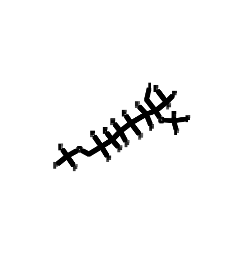 FC(F)(F)OCC(F)(F)C(F)(F)C(F)(F)C(F)(F)C(F)(F)C(CI)(OC(F)(F)F)C(F)(F)F